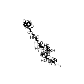 CC(C)(COP(=O)(O)OP(=O)(O)OC[C@H]1O[C@@H](n2cnc3c(N)ncnc32)[C@H](O)[C@@H]1OP(=O)(O)O)[C@@H](O)C(=O)NCCC(=O)NCCSC(=O)CC[C@@H]1C(=O)CC[C@]2(C)C(=O)CC[C@@H]12